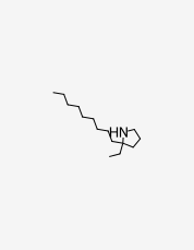 CCCCCCCCCC1(CC)CCCN1